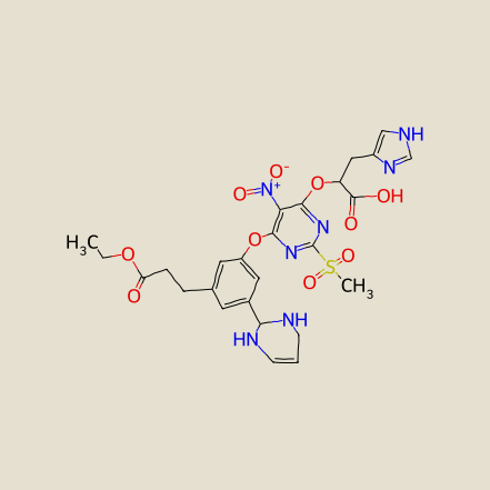 CCOC(=O)CCc1cc(Oc2nc(S(C)(=O)=O)nc(OC(Cc3c[nH]cn3)C(=O)O)c2[N+](=O)[O-])cc(C2NC=CCN2)c1